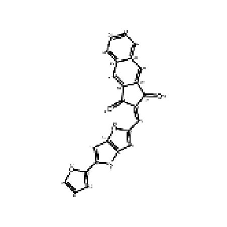 O=C1C(=Cc2cc3sc(-c4ccco4)cc3o2)C(=O)c2cc3ccccc3cc21